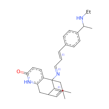 C/C=C1\C2C=C(C)CC1(/N=C/C=C/c1ccc(C(C)NCC)cc1)c1ccc(=O)[nH]c1C2